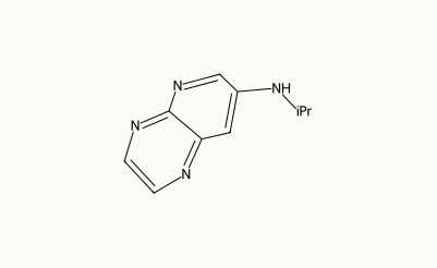 CC(C)Nc1cnc2nccnc2c1